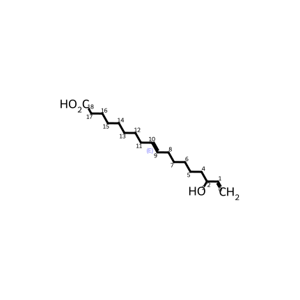 C=CC(O)CCCCC/C=C/CCCCCCCC(=O)O